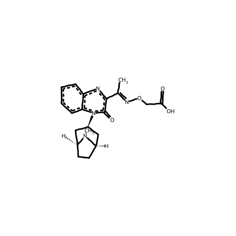 C/C(=N\OCC(=O)O)c1nc2ccccc2n([C@H]2C[C@H]3CC[C@@H](C2)N3C)c1=O